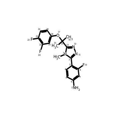 Cn1c(-c2ccc(N)cc2F)nnc1C(C)(C)Oc1ccc(F)c(F)c1